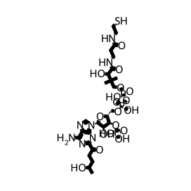 CC(O)CCC(=O)c1nc(N)c2ncn([C@@H]3O[C@H](COP(=O)(O)OP(=O)(O)OCC(C)(C)C(O)C(=O)NCCC(=O)NCCS)[C@@H](OP(=O)(O)O)[C@H]3O)c2n1